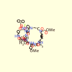 COC(=O)CCC(=O)N1CCC/C=C/Cn2cc(c3cc(F)ccc32)C[C@@H]2NC(=O)[C@@H](NC(=O)OCC3c4ccccc4-c4ccccc43)Cc3cccc(c3)CNC(=O)CO[C@H]3CCN(C2=O)[C@@H]3C(=O)N[C@@H]([C@@H](C)OC(C)(C)C)C(=O)N[C@@H](Cc2ccc(OC)cc2)C(=O)N2CCC[C@@]2(C)C(=O)NCCc2ccc(cc2)C1